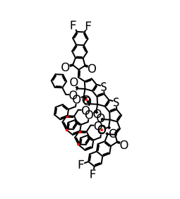 O=C1C(=CC2=Cc3sc4c(c3C2(C(=O)OCc2ccccc2)C(=O)OCc2ccccc2)C(C(=O)OCc2ccccc2)(C(=O)OCc2ccccc2)c2c-4sc3c2C(C(=O)OCc2ccccc2)(C(=O)OCc2ccccc2)C(C=C2C(=O)c4cc5cc(F)c(F)cc5cc4C2=O)=C3)C(=O)c2cc3cc(F)c(F)cc3cc21